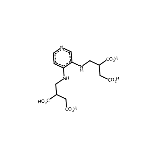 O=C(O)CC(CNc1ccncc1NCC(CC(=O)O)C(=O)O)C(=O)O